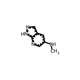 CBc1cnc2[nH]ncc2c1